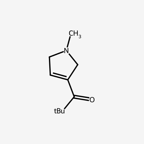 CN1CC=C(C(=O)C(C)(C)C)C1